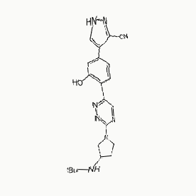 CC(C)(C)NC1CCN(c2ncc(-c3ccc(-c4c[nH]nc4C#N)cc3O)nn2)C1